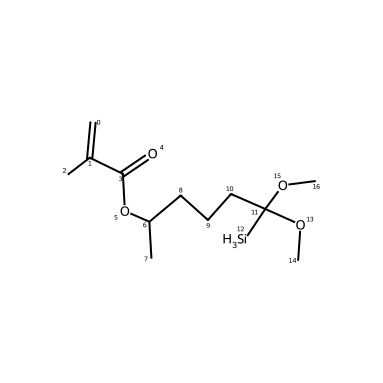 C=C(C)C(=O)OC(C)CCCC([SiH3])(OC)OC